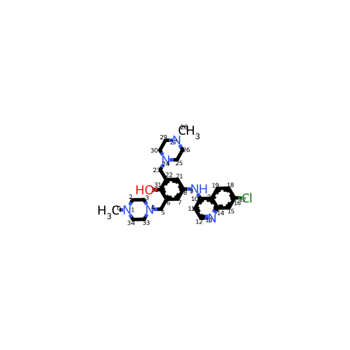 CN1CCN(Cc2cc(Nc3ccnc4cc(Cl)ccc34)cc(CN3CCN(C)CC3)c2O)CC1